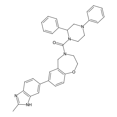 Cc1nc2ccc(-c3ccc4c(c3)CN(C(=O)N3CCN(c5ccccc5)CC3c3ccccc3)CCO4)cc2[nH]1